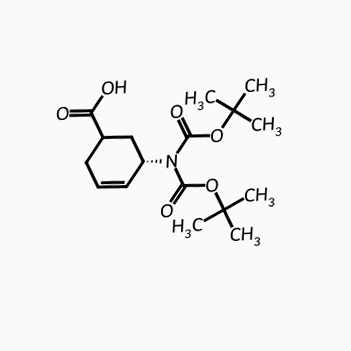 CC(C)(C)OC(=O)N(C(=O)OC(C)(C)C)[C@@H]1C=CCC(C(=O)O)C1